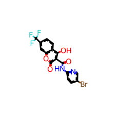 O=C(Nc1ccc(Br)cn1)c1c(O)c2ccc(C(F)(F)F)cc2oc1=O